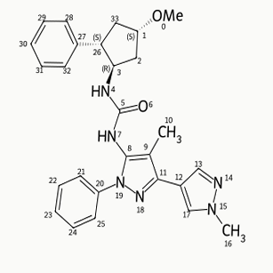 CO[C@@H]1C[C@@H](NC(=O)Nc2c(C)c(-c3cnn(C)c3)nn2-c2ccccc2)[C@H](c2ccccc2)C1